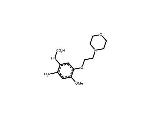 COc1cc([N+](=O)[O-])c(NC(=O)O)cc1OCCN1CCOCC1